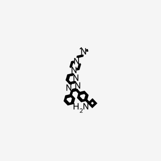 CN(C)CCN1CCN(c2ccc3nc(-c4ccccc4)c(-c4ccc(C5(N)CCC5)cc4)nc3n2)CC1